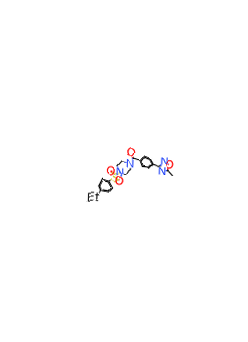 CCc1ccc(S(=O)(=O)N2CCN(C(=O)c3ccc(-c4noc(C)n4)cc3)CC2)cc1